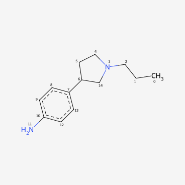 CCCN1CCC(c2ccc(N)cc2)C1